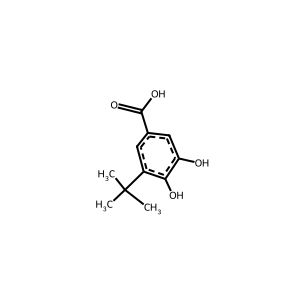 CC(C)(C)c1cc(C(=O)O)cc(O)c1O